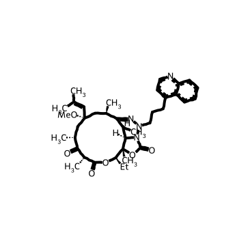 CC[C@H]1OC(=O)[C@H](C)C(=O)[C@H](C)C[C@](C=C(C)C)(OC)C[C@@H](C)C2=NN(CCCc3ccnc4ccccc34)N3C(=O)O[C@@]1(C)[C@H]3[C@H]2C